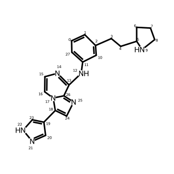 c1cc(CCC2CCCN2)cc(Nc2nccn3c(-c4cn[nH]c4)cnc23)c1